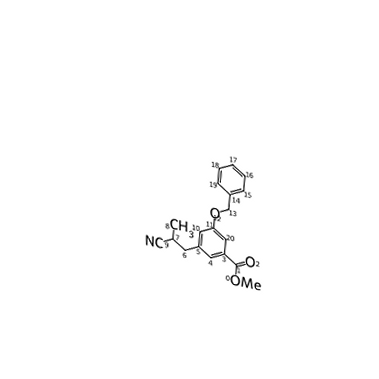 COC(=O)c1cc(CC(C)C#N)cc(OCc2ccccc2)c1